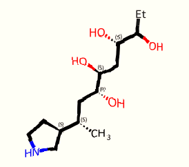 CCC(O)[C@@H](O)C[C@H](O)[C@H](O)C[C@H](C)[C@@H]1CCNC1